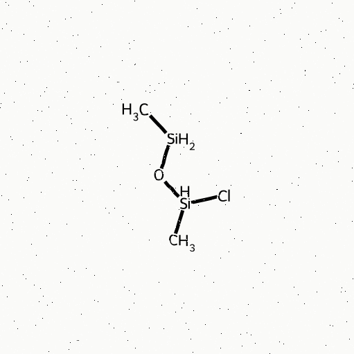 C[SiH2]O[SiH](C)Cl